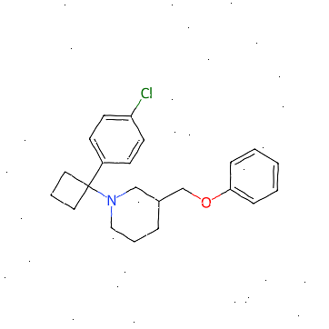 Clc1ccc(C2(N3CCCC(COc4ccccc4)C3)CCC2)cc1